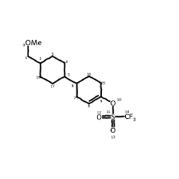 COCC1CCC(C2CC=C(OS(=O)(=O)C(F)(F)F)CC2)CC1